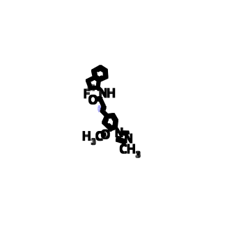 COc1cc(/C=C/C(=O)NC2c3ccccc3C[C@@H]2F)ccc1-n1cnc(C)c1